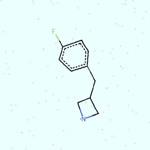 Fc1ccc(CC2C[N]C2)cc1